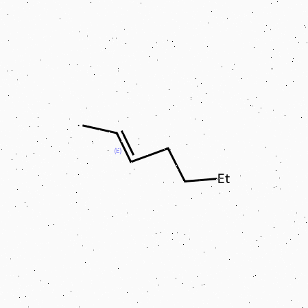 [CH]CCC/C=C/[CH2]